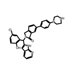 O=C1c2cc(-c3ccc(N4CCNCC4)cc3)ccc2CN1C(c1cc2cccnc2[nH]1)c1cc(Cl)ccc1O